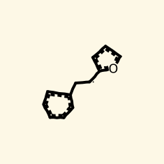 [CH](Cc1ccccc1)c1ccco1